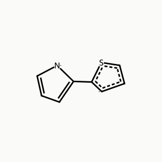 [c]1ccsc1C1=CC=C[N]1